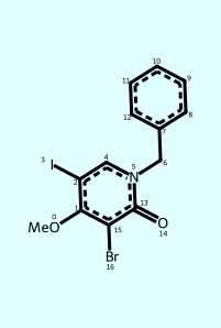 COc1c(I)cn(Cc2ccccc2)c(=O)c1Br